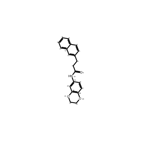 O=C(CCc1ccc2ccccc2c1)Nc1ccc2c(c1)OCCO2